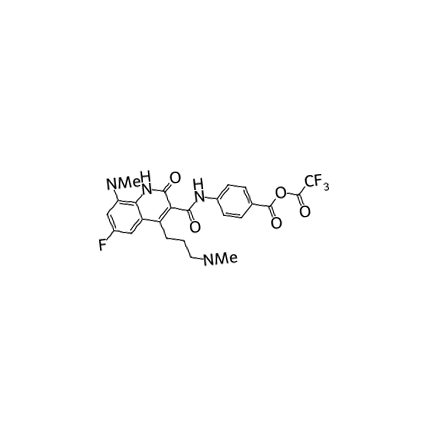 CNCCCc1c(C(=O)Nc2ccc(C(=O)OC(=O)C(F)(F)F)cc2)c(=O)[nH]c2c(NC)cc(F)cc12